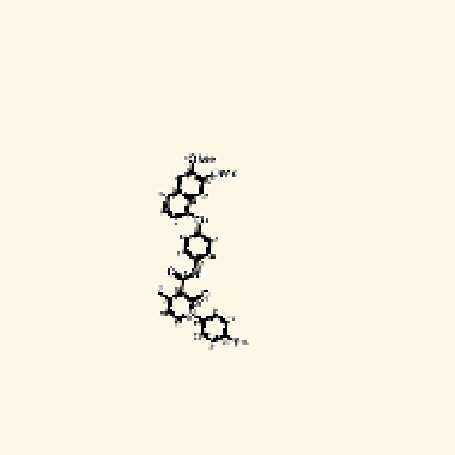 COc1cc2nccc(Oc3ccc(NC(=O)c4c(C)ccn(-c5ccc(F)cc5)c4=O)cc3)c2cc1OC